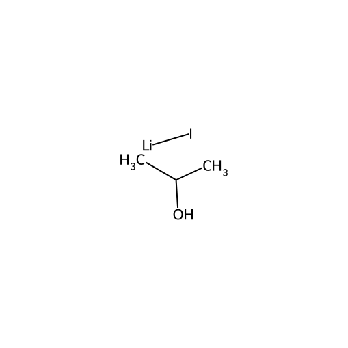 CC(C)O.[Li][I]